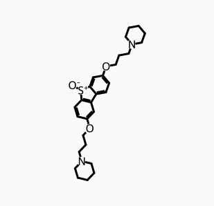 [O-][s+]1c2ccc(OCCCN3CCCCC3)cc2c2ccc(OCCCN3CCCCC3)cc21